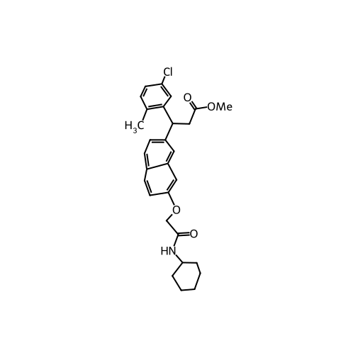 COC(=O)CC(c1ccc2ccc(OCC(=O)NC3CCCCC3)cc2c1)c1cc(Cl)ccc1C